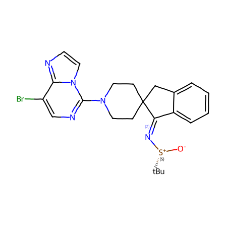 CC(C)(C)[S@@+]([O-])/N=C1\c2ccccc2CC12CCN(c1ncc(Br)c3nccn13)CC2